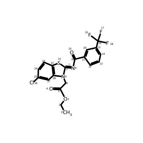 CCOC(=O)Cn1/c(=N/C(=O)c2cccc(C(F)(F)F)c2)sc2ccc(Cl)cc21